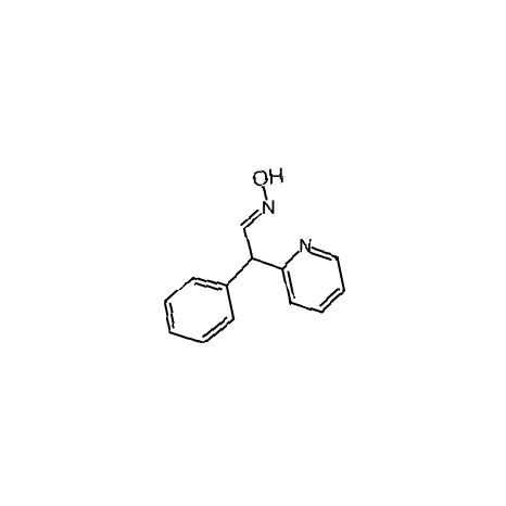 ON=CC(c1ccccc1)c1ccccn1